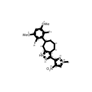 COc1cc(OC)c(F)c(C2CCCc3c(-c4nn(C)cc4[N+](=O)[O-])n[nH]c3C2)c1F